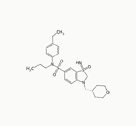 CCCN(c1ccc(CC)cc1)S(=O)(=O)c1ccc2c(c1)S(=N)(=O)CN2CC1CCOCC1